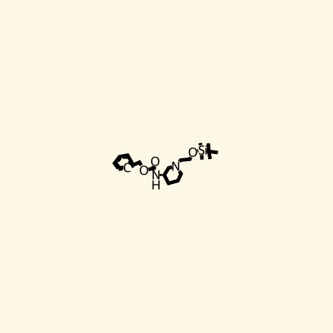 CC(C)(C)[Si](C)(C)OCCN1CCC[C@@H](NC(=O)OCc2ccccc2)C1